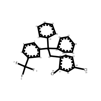 FC(F)(F)c1cccc(C(Cc2ccc(Cl)cc2Cl)(c2ccccc2)c2ccccc2)c1